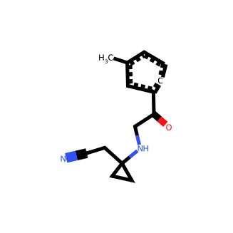 Cc1cccc(C(=O)CNC2(CC#N)CC2)c1